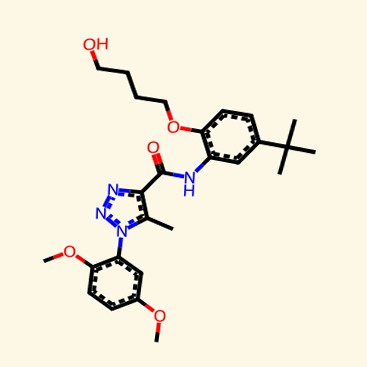 COc1ccc(OC)c(-n2nnc(C(=O)Nc3cc(C(C)(C)C)ccc3OCCCCO)c2C)c1